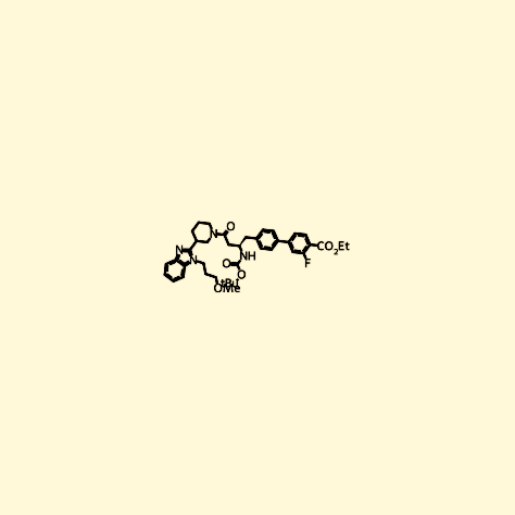 CCOC(=O)c1ccc(-c2ccc(C[C@H](CC(=O)N3CCCC(c4nc5ccccc5n4CCCOC)C3)NC(=O)OC(C)(C)C)cc2)cc1F